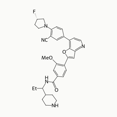 CCC(NC(=O)c1ccc(-c2cc3nccc(-c4ccc(N5CC[C@H](F)C5)c(C#N)c4)c3o2)c(OC)c1)C1CCNCC1